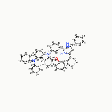 C1=C(c2ccccc2)NC(c2cccc(-n3c4ccc5c6ccccc6n(-c6ccccc6)c5c4c4ccc5c6ccccc6oc5c43)c2)NC1c1ccccc1